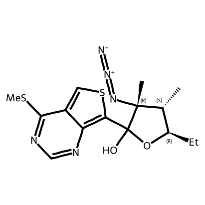 CC[C@H]1OC(O)(c2scc3c(SC)ncnc23)[C@](C)(N=[N+]=[N-])[C@@H]1C